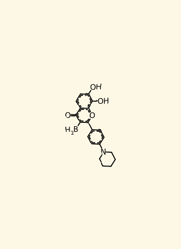 Bc1c(-c2ccc(N3CCCCC3)cc2)oc2c(O)c(O)ccc2c1=O